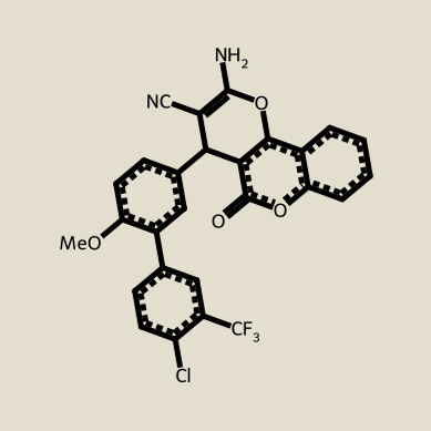 COc1ccc(C2C(C#N)=C(N)Oc3c2c(=O)oc2ccccc32)cc1-c1ccc(Cl)c(C(F)(F)F)c1